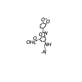 CN(C)CCNc1cc(C(=O)C=O)c2oc(-c3ccc4c(c3)OCO4)nc2c1